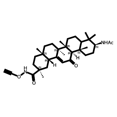 C#CONC(=O)[C@@]1(C)CC[C@]2(C)CC[C@]3(C)C(=CC(=O)[C@@H]4[C@@]5(C)CC[C@H](NC(C)=O)C(C)(C)C5CC[C@]43C)[C@@H]2C1